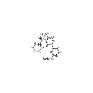 CC(=O)Nc1cc(-c2cnc(N)c(C(=O)N3CCCCC3)c2)ccn1